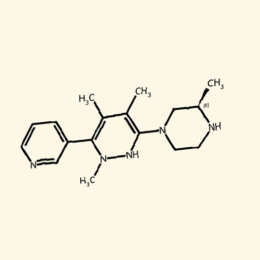 CC1=C(N2CCN[C@H](C)C2)NN(C)C(c2cccnc2)=C1C